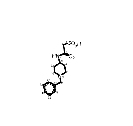 O=C(CS(=O)(=O)O)NC1CCN(Cc2ccccc2)CC1